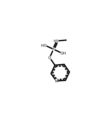 C[SH]=P(O)(O)Oc1cccnc1